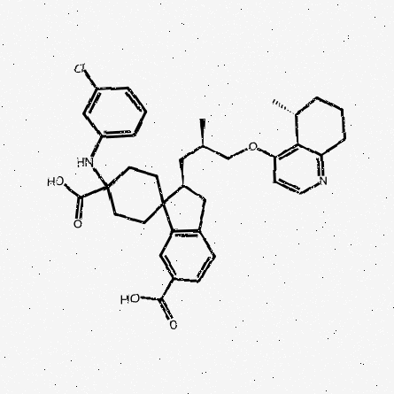 C[C@@H](COc1ccnc2c1[C@H](C)CCC2)C[C@H]1Cc2ccc(C(=O)O)cc2C12CCC(Nc1cccc(Cl)c1)(C(=O)O)CC2